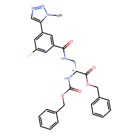 CCCn1nncc1-c1cc(F)cc(C(=O)NC[C@@H](NC(=O)OCc2ccccc2)C(=O)OCc2ccccc2)c1